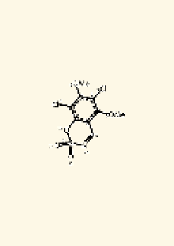 COc1c(Cl)c(OC)c2c(c1Cl)OS(=O)(=O)N=C2